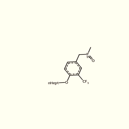 CCCCCCCOc1ccc(C[PH](C)=O)cc1C(F)(F)F